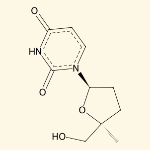 C[C@@]1(CO)CC[C@H](n2ccc(=O)[nH]c2=O)O1